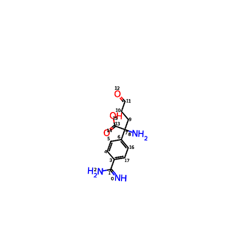 N=C(N)c1ccc(C(N)(CCC=O)C(=O)O)cc1